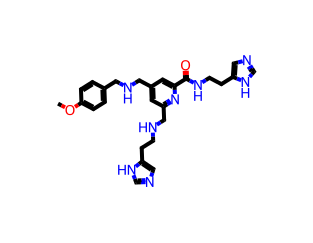 COc1ccc(CNCc2cc(CNCCc3cnc[nH]3)nc(C(=O)NCCc3cnc[nH]3)c2)cc1